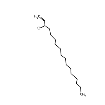 C=CC(Cl)CCCCCCCCCCCCCC